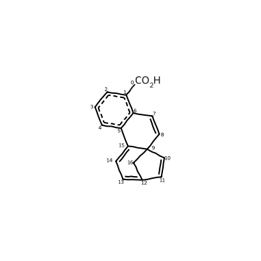 O=C(O)c1cccc2c1C=CC13C=CC(=CC=C21)C3